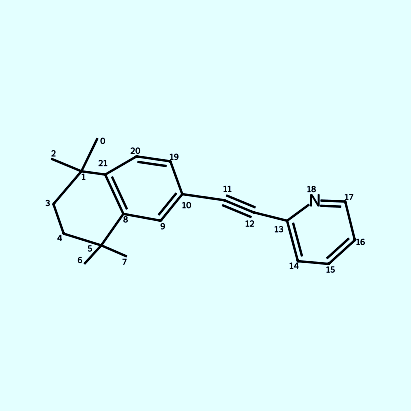 CC1(C)CCC(C)(C)c2cc(C#Cc3ccccn3)ccc21